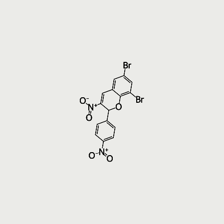 O=[N+]([O-])C1=Cc2cc(Br)cc(Br)c2OC1c1ccc([N+](=O)[O-])cc1